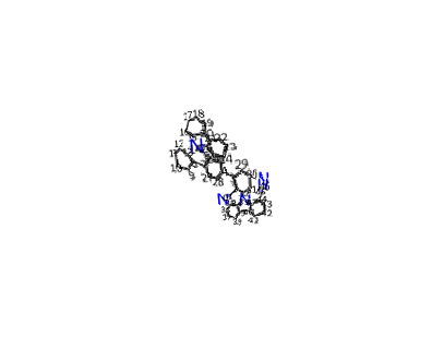 N#Cc1c(-c2ccc(-c3ccccc3-n3c4ccccc4c4ccccc43)cc2)cccc1-n1c2ccccc2c2cccc(C#N)c21